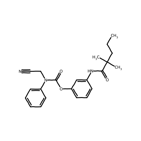 CCCC(C)(C)C(=O)Nc1cccc(OC(=O)N(CC#N)c2ccccc2)c1